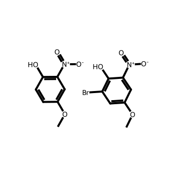 COc1cc(Br)c(O)c([N+](=O)[O-])c1.COc1ccc(O)c([N+](=O)[O-])c1